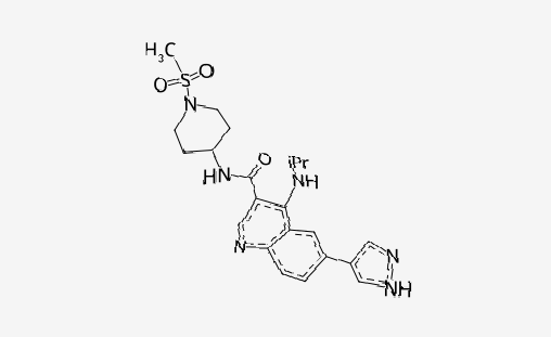 CC(C)Nc1c(C(=O)NC2CCN(S(C)(=O)=O)CC2)cnc2ccc(-c3cn[nH]c3)cc12